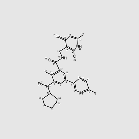 CCN(c1cc(-c2cnc(C)cn2)cc(C(=O)NCc2c(Cl)[nH]c(C)cc2=O)c1C)C1CCCCC1